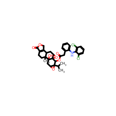 CC(C)C12OC1CC1(O)C3(C)CCC4=C(COC4=O)C3CC3OC31C2OC(=O)Cc1ccccc1Nc1c(Cl)cccc1Cl